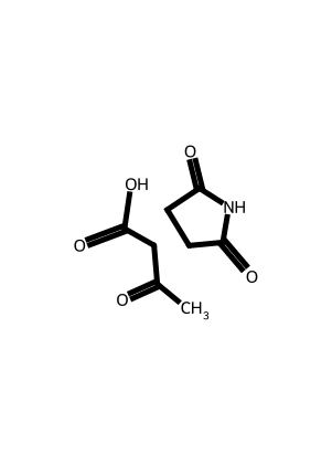 CC(=O)CC(=O)O.O=C1CCC(=O)N1